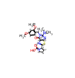 COc1ccc(Cn2c(N(C)C)nc3sc([C@H]4CCCN4C(=O)O)nc3c2=O)c(OC)c1